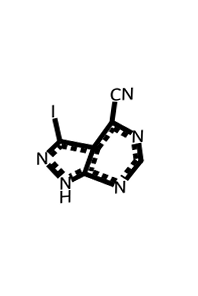 N#Cc1ncnc2[nH]nc(I)c12